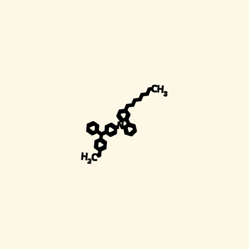 C=Cc1ccc(C(c2ccccc2)c2ccc(-n3c4ccccc4c4cc(CCCCCCCC)ccc43)cc2)cc1